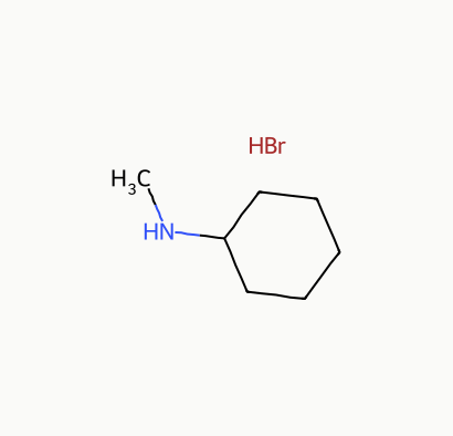 Br.CNC1CCCCC1